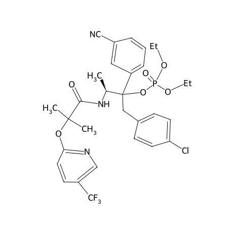 CCOP(=O)(OCC)OC(Cc1ccc(Cl)cc1)(c1cccc(C#N)c1)[C@H](C)NC(=O)C(C)(C)Oc1ccc(C(F)(F)F)cn1